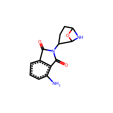 Nc1cccc2c1C(=O)N(C1CCC3NC1O3)C2=O